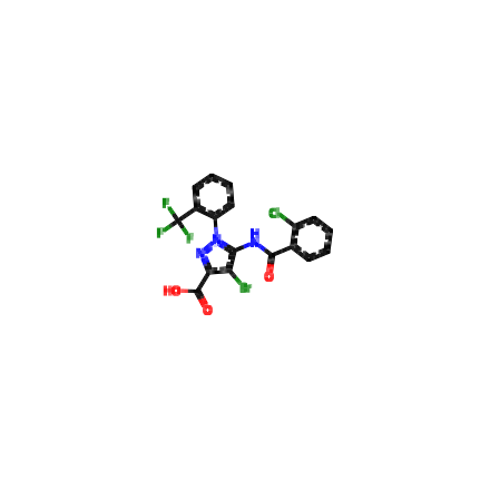 O=C(Nc1c(Br)c(C(=O)O)nn1-c1ccccc1C(F)(F)F)c1ccccc1Cl